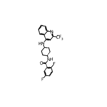 O=C(NC1CCC(Nc2cc(C(F)(F)F)nc3ccccc23)CC1)c1cc(F)ccc1F